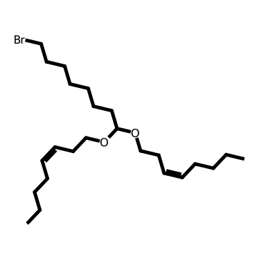 CCCC/C=C\CCOC(CCCCCCCBr)OCC/C=C\CCCC